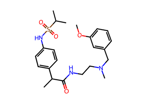 COc1cccc(CN(C)CCNC(=O)C(C)c2ccc(NS(=O)(=O)C(C)C)cc2)c1